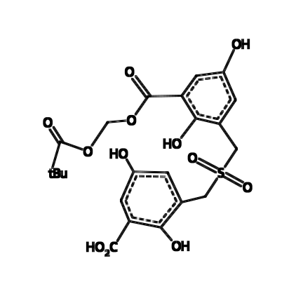 CC(C)(C)C(=O)OCOC(=O)c1cc(O)cc(CS(=O)(=O)Cc2cc(O)cc(C(=O)O)c2O)c1O